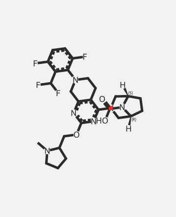 CN1CCCC1COc1nc2c(c(N3C[C@H]4CC[C@@H](C3)N4C(=O)O)n1)CCN(c1c(F)ccc(F)c1C(F)F)C2